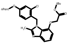 CCCCCOc1ccc(Cn2c(C)nc3cccc(OCC(=O)OC(C)(C)C)c32)c(Cl)c1